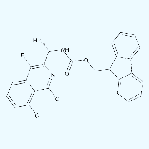 C[C@H](NC(=O)OCC1c2ccccc2-c2ccccc21)c1nc(Cl)c2c(Cl)cccc2c1F